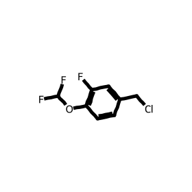 Fc1cc(CCl)ccc1OC(F)F